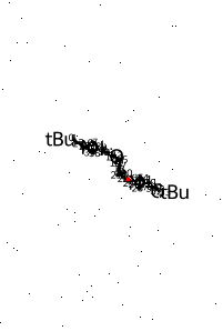 CC(C)(C)CCCCN1CCN(CCCCOC(C)(C)CCC(C)(C)CCCN2CCN(CCCOC(C)(C)C)CC2)CC1